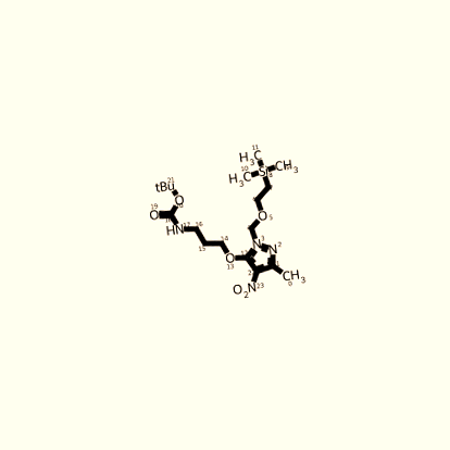 Cc1nn(COCC[Si](C)(C)C)c(OCCCNC(=O)OC(C)(C)C)c1[N+](=O)[O-]